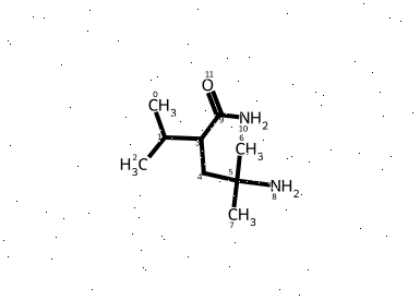 CC(C)C(CC(C)(C)N)C(N)=O